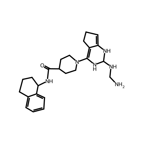 NCNC1NC2=CCCC2=C(N2CCC(C(=O)NC3CCCc4ccccc43)CC2)N1